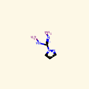 P/N=C(\NP)n1cccn1